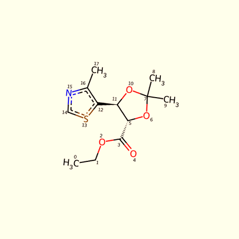 CCOC(=O)[C@H]1OC(C)(C)O[C@@H]1c1scnc1C